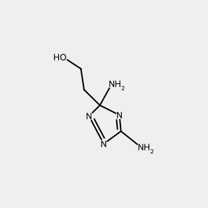 NC1=NC(N)(CCO)N=N1